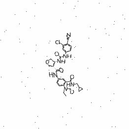 CCN(C=O)c1ccc(NC(=O)[C@@H]2COC[C@@H]2NC(=O)Nc2ccc(C#N)c(Cl)c2)cc1C(=O)NCC1CC1